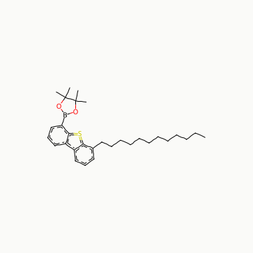 CCCCCCCCCCCCc1cccc2c1sc1c(B3OC(C)(C)C(C)(C)O3)cccc12